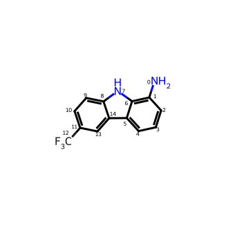 Nc1cccc2c1[nH]c1ccc(C(F)(F)F)cc12